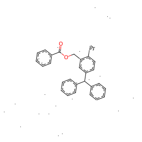 CC(C)c1ccc(C(c2ccccc2)c2ccccc2)cc1COC(=O)c1ccccc1